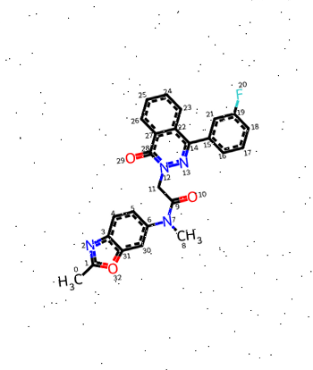 Cc1nc2ccc(N(C)C(=O)Cn3nc(-c4cccc(F)c4)c4ccccc4c3=O)cc2o1